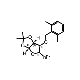 CCC[C@H]1O[C@@H]2OC(C)(C)O[C@@H]2[C@H]1OCc1c(C)cccc1C